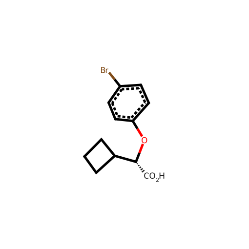 O=C(O)[C@@H](Oc1ccc(Br)cc1)C1CCC1